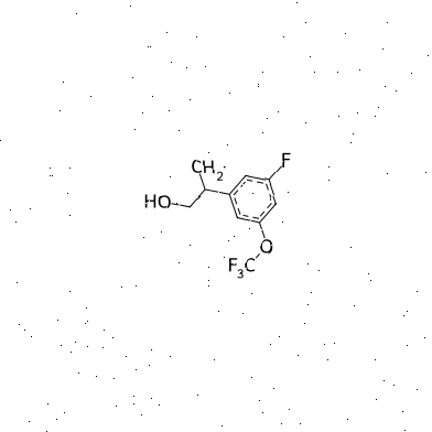 [CH2]C(CO)c1cc(F)cc(OC(F)(F)F)c1